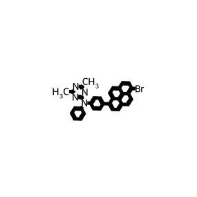 Cc1nc(C)nc(N(c2ccccc2)c2ccc(-c3ccc4ccc5c(Br)ccc6ccc3c4c65)cc2)n1